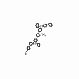 CC1C=C(c2ccc(Nc3cccc(-c4ccc(C#N)cc4)c3)c(-c3ccccc3)c2)C=CC1c1ccc(Nc2ccc(-c3ccccc3)cc2)c(-c2ccccc2)c1